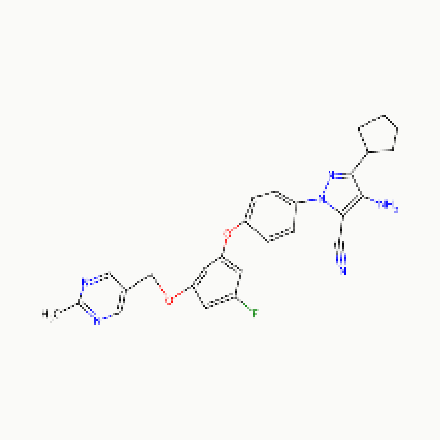 Cc1ncc(COc2cc(F)cc(Oc3ccc(-n4nc(C5CCCC5)c(N)c4C#N)cc3)c2)cn1